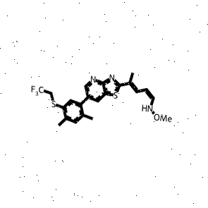 CON/C=C\C=C(/C)c1nc2ncc(-c3cc(SCC(F)(F)F)c(C)cc3C)cc2s1